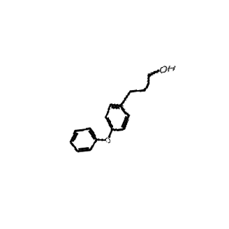 OCCCc1ccc(Oc2ccccc2)cc1